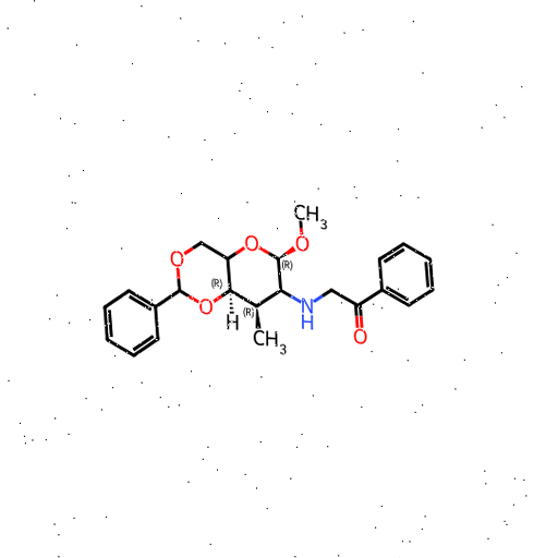 CO[C@@H]1OC2COC(c3ccccc3)O[C@@H]2[C@H](C)C1NCC(=O)c1ccccc1